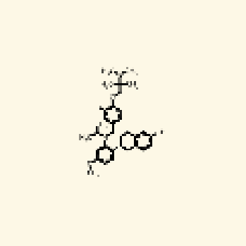 COc1ccc([C@@H]2CCc3cc(O)ccc3C2)c(N(Cc2ccc(OCC(C)(C)N(C)C)c(F)c2)C(C)C)c1